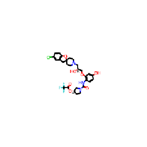 O=C(Nc1ccc(O)cc1OC[C@H](O)CN1CCC2(CC1)Cc1cc(Cl)ccc1O2)N1CC[C@H](OC(=O)C(F)(F)F)C1